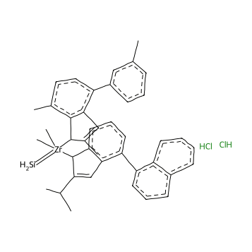 CC1=Cc2c(-c3cccc(C)c3)ccc(C)c2[CH]1[Zr]([CH3])([CH3])(=[SiH2])[CH]1C(C(C)C)=Cc2c(-c3cccc4ccccc34)cccc21.Cl.Cl